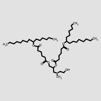 CCCCCCCCC(CCCCCC)OC(=O)CCCCC(=O)OCC(CN(C)CCO)OC(=O)CCCCC(=O)OC(CCCCCC)CCCCCCCC